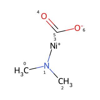 C[N](C)[Ni+].O=C[O-]